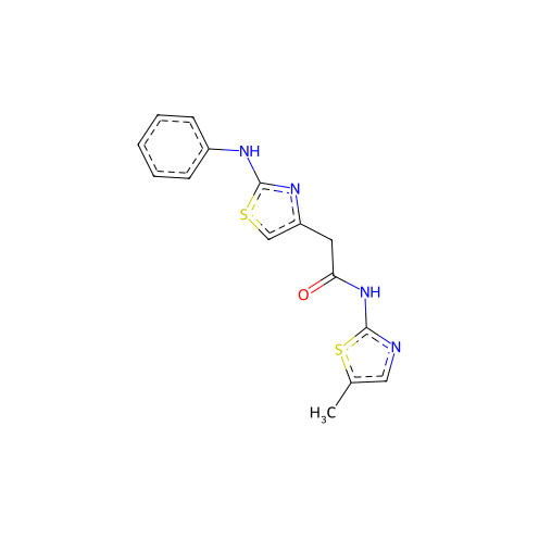 Cc1cnc(NC(=O)Cc2csc(Nc3ccccc3)n2)s1